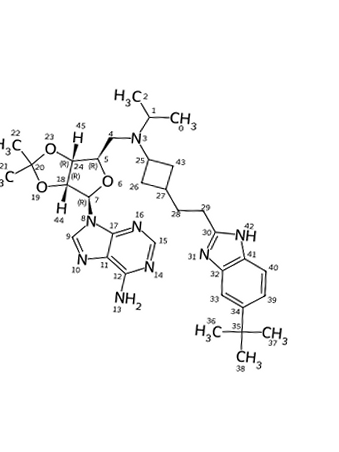 CC(C)N(C[C@H]1O[C@@H](n2cnc3c(N)ncnc32)[C@@H]2OC(C)(C)O[C@@H]21)C1CC(CCc2nc3cc(C(C)(C)C)ccc3[nH]2)C1